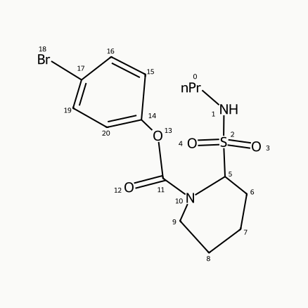 CCCNS(=O)(=O)C1CCCCN1C(=O)Oc1ccc(Br)cc1